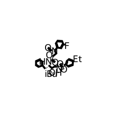 CCc1ccc(S(=O)(=O)N(C[C@@H](C)CC)C[C@@H](O)[C@H](Cc2ccccc2)NC(=O)[C@@H]2CN(c3cccc(F)c3)C(=O)O2)cc1